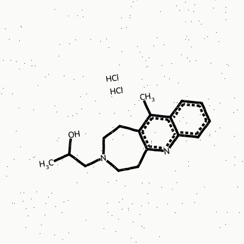 Cc1c2c(nc3ccccc13)CCN(CC(C)O)CC2.Cl.Cl